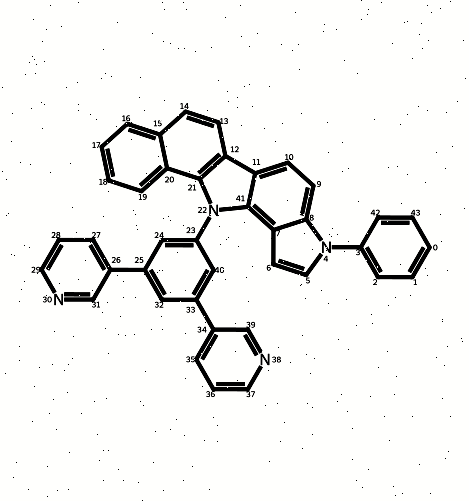 c1ccc(-n2ccc3c2ccc2c4ccc5ccccc5c4n(-c4cc(-c5cccnc5)cc(-c5cccnc5)c4)c23)cc1